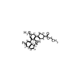 CCOC(=O)C1CC=C(C2=C3NN=C4C=Cc5cc(F)cc(c54)C3=CN(C)C2)CC1